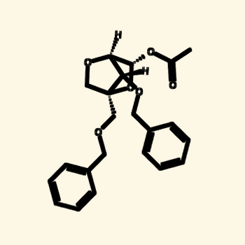 CC(=O)O[C@@H]1O[C@@]2(COCc3ccccc3)CO[C@@H]1[C@@H]2OCc1ccccc1